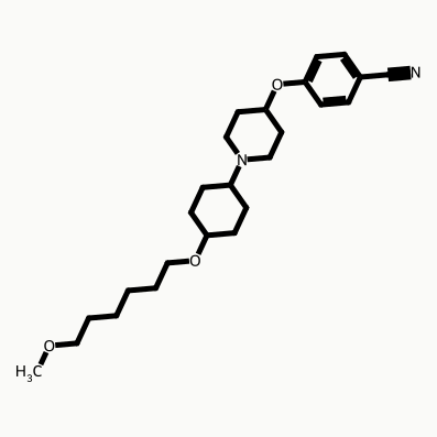 COCCCCCCOC1CCC(N2CCC(Oc3ccc(C#N)cc3)CC2)CC1